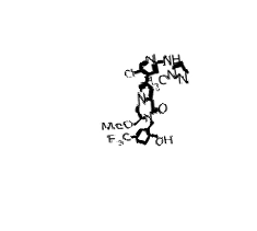 COC[C@H]1Cn2cc(-c3cc(Nc4ccnn4C)ncc3Cl)cc2C(=O)N1Cc1cc(C(F)(F)F)ccc1CO